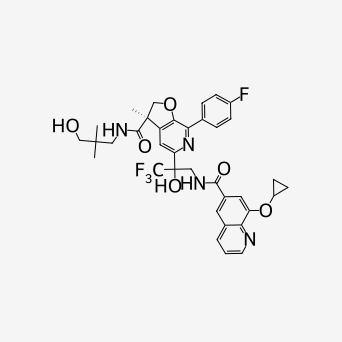 CC(C)(CO)CNC(=O)[C@@]1(C)COc2c1cc(C(O)(CNC(=O)c1cc(OC3CC3)c3ncccc3c1)C(F)(F)F)nc2-c1ccc(F)cc1